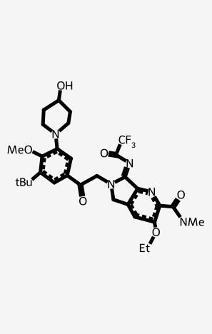 CCOc1cc2c(nc1C(=O)NC)/C(=N/C(=O)C(F)(F)F)N(CC(=O)c1cc(N3CCC(O)CC3)c(OC)c(C(C)(C)C)c1)C2